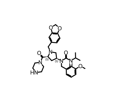 COc1cccc(CN(C(=O)NC(C)C)[C@H]2C[C@@H](C(=O)N3CCNCC3)N(Cc3ccc4c(c3)OCO4)C2)c1